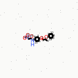 CC(COc1ccc(NC(=O)C[N+](=O)[O-])cc1)Oc1ccccc1